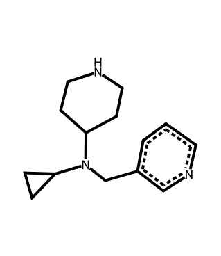 c1cncc(CN(C2CCNCC2)C2CC2)c1